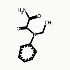 CCN(C(=O)C(N)=O)c1ccccc1